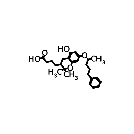 CC(CCCc1ccccc1)Oc1cc(O)c2c(c1)OC(C)(C)C(CCCC(=O)O)C2